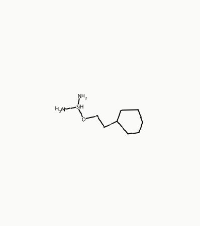 N[SiH](N)OCCC1CCCCC1